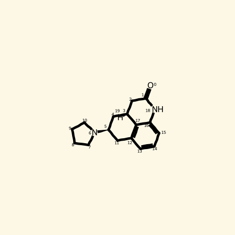 O=C1C[C@@H]2C[C@H](N3CCCC3)Cc3cccc(c32)N1